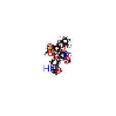 CCS(=O)(=O)c1ccc(Oc2c(C)cccc2C)c(-c2cn(C)c(=O)cc2O[C@H]2CC[C@H](NC(C)=O)CC2)c1